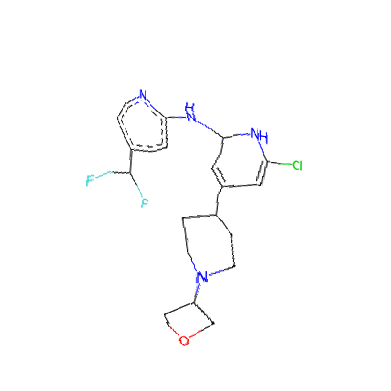 FC(F)c1ccnc(NC2C=C(C3CCN(C4COC4)CC3)C=C(Cl)N2)c1